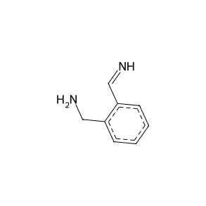 N=Cc1ccccc1CN